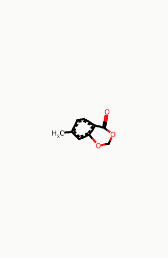 Cc1ccc2c(c1)OCOC2=O